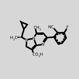 CC1=CC(c2cccc(F)c2C#N)=NC2=C(C(=O)O)CN([C@@H](C)C3CC3)N12